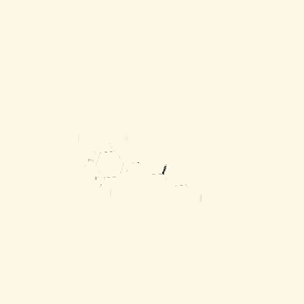 CCOC(=O)OC[C@H]1O[C@@H](O)[C@H](O)[C@@H](O)[C@@H]1O